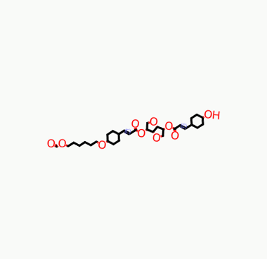 O=COCCCCCCOC1CCC(/C=C/C(=O)OC2COC3C(OC(=O)/C=C/C4CCC(O)CC4)COC23)CC1